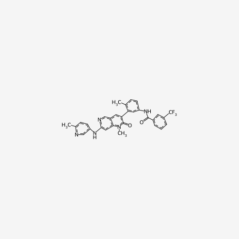 Cc1ccc(Nc2cc3c(cn2)cc(-c2cc(NC(=O)c4cccc(C(F)(F)F)c4)ccc2C)c(=O)n3C)cn1